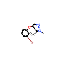 Cn1ncc(Oc2cccc(Br)c2)c1C(=O)O